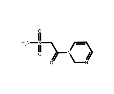 NS(=O)(=O)CC(=O)N1C=CC=NC1